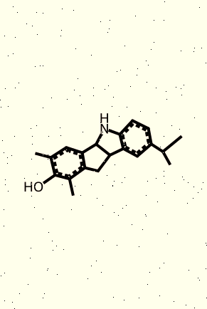 Cc1cc2c(c(C)c1O)CC1c3cc(C(C)C)ccc3NC21